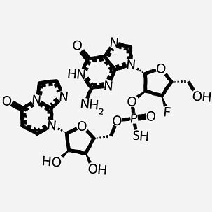 Nc1nc2c(ncn2[C@@H]2O[C@H](CO)[C@@H](F)[C@H]2OP(=O)(S)OC[C@H]2O[C@@H](n3ccc(=O)n4ccnc34)[C@H](O)[C@@H]2O)c(=O)[nH]1